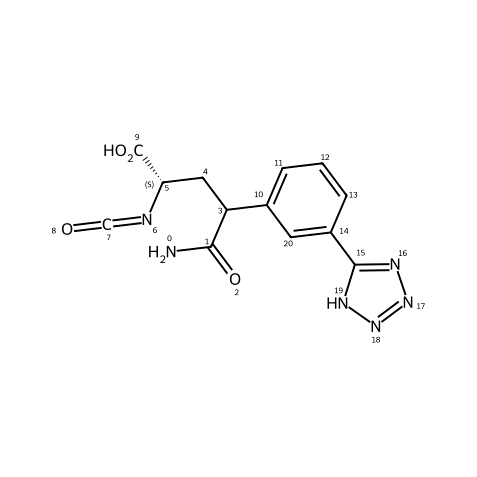 NC(=O)C(C[C@H](N=C=O)C(=O)O)c1cccc(-c2nnn[nH]2)c1